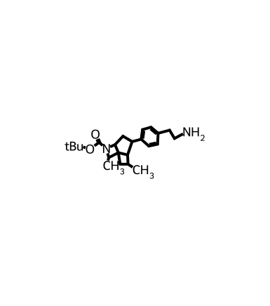 CC1CC23C1C(c1ccc(CCN)cc1)CC2N(C(=O)OC(C)(C)C)C3C